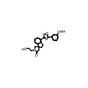 COc1cccc(-c2nc(-c3cccc4c3CCC43CC(=O)N(CCO)C3)no2)c1